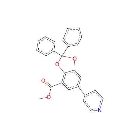 COC(=O)c1cc(-c2ccncc2)cc2c1OC(c1ccccc1)(c1ccccc1)O2